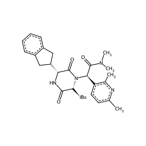 CC[C@H](C)[C@@H]1C(=O)N[C@H](C2Cc3ccccc3C2)C(=O)N1[C@@H](C(=O)N(C)C)c1ccc(C)nc1C